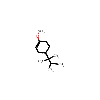 CC(C)C(C)(C)C1CC=C(O[SiH3])CC1